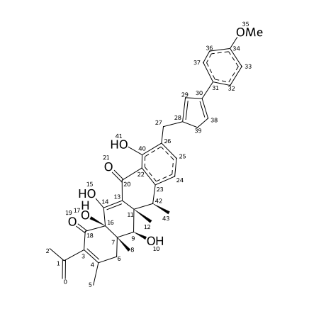 C=C(C)C1=C(C)C[C@@]2(C)[C@H](O)[C@]3(C)C(=C(O)[C@@]2(O)C1=O)C(=O)c1c(ccc(CC2=CC(c4ccc(OC)cc4)=CC2)c1O)[C@H]3C